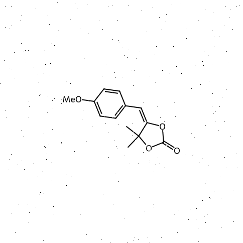 COc1ccc(C=C2OC(=O)OC2(C)C)cc1